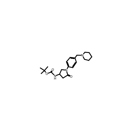 CC(C)(C)OC(=O)NC1CC(=O)N(c2ccc(CN3CCCCC3)cc2)C1